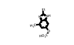 CCc1nc2c(C)cc(OC(=O)O)cc2[nH]1